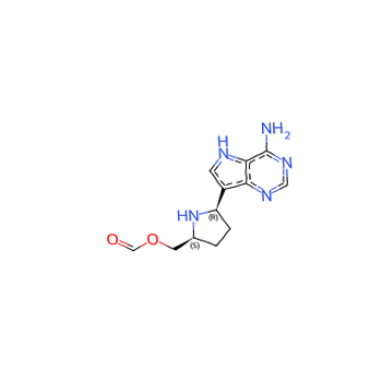 Nc1ncnc2c([C@H]3CC[C@@H](COC=O)N3)c[nH]c12